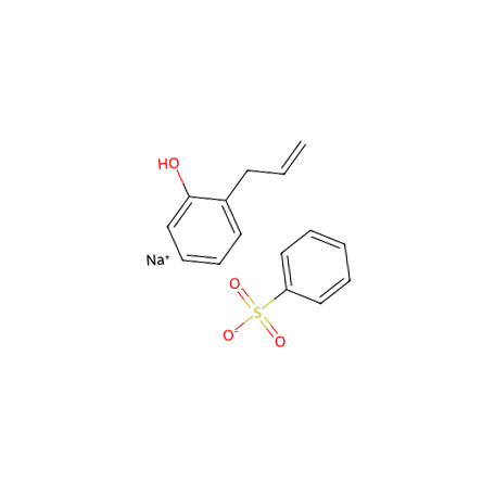 C=CCc1ccccc1O.O=S(=O)([O-])c1ccccc1.[Na+]